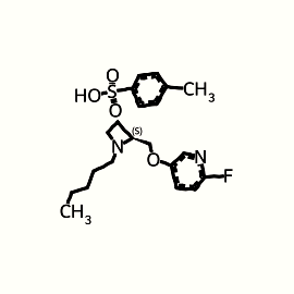 CCCCCN1CC[C@H]1COc1ccc(F)nc1.Cc1ccc(S(=O)(=O)O)cc1